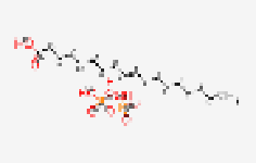 CCCCCCCCC=CCCCCCCCC(=O)O.O=P(O)(O)OP(=O)(O)O